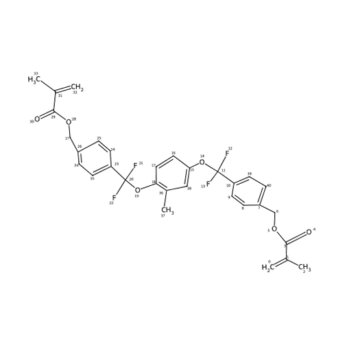 C=C(C)C(=O)OCc1ccc(C(F)(F)Oc2ccc(OC(F)(F)c3ccc(COC(=O)C(=C)C)cc3)c(C)c2)cc1